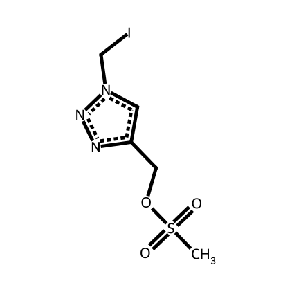 CS(=O)(=O)OCc1cn(CI)nn1